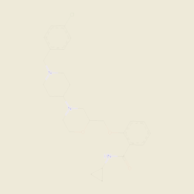 O=C(NC1CC1)c1ccccc1OCC1CN(C2CCN(Cc3ccc(Cl)cc3)CC2)CCO1